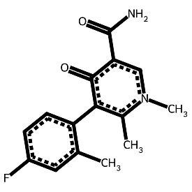 Cc1cc(F)ccc1-c1c(C)n(C)cc(C(N)=O)c1=O